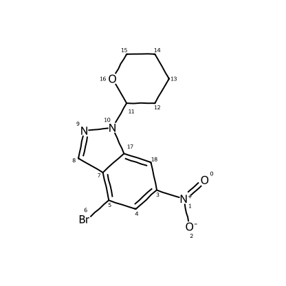 O=[N+]([O-])c1cc(Br)c2cnn(C3CCCCO3)c2c1